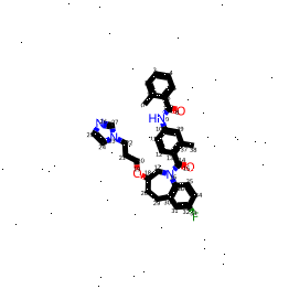 Cc1ccccc1C(=O)Nc1ccc(C(=O)N2CC(OCCCn3ccnc3)CCc3cc(F)ccc32)c(C)c1